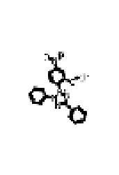 COc1cc([N+](=O)[O-])ccc1-[n+]1nc(-c2ccccc2)nn1-c1ccccc1.[Cl-]